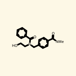 CNC(=O)c1ccc(CN(CCO)C(=O)c2ccccc2)cc1